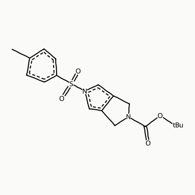 Cc1ccc(S(=O)(=O)n2cc3c(c2)CN(C(=O)OC(C)(C)C)C3)cc1